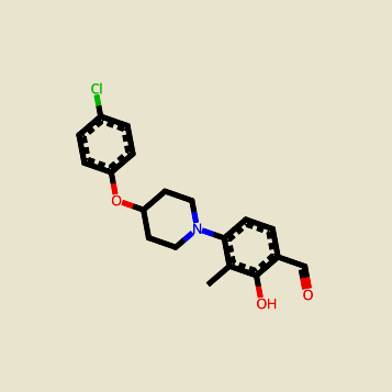 Cc1c(N2CCC(Oc3ccc(Cl)cc3)CC2)ccc(C=O)c1O